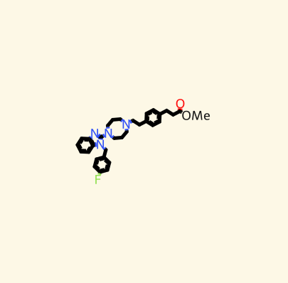 COC(=O)CCc1ccc(CCN2CCCN(c3nc4ccccc4n3Cc3ccc(F)cc3)CCC2)cc1